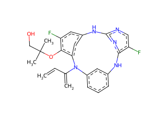 C=CC(=C)N1c2cccc(c2)Nc2nc(ncc2F)Nc2cc(F)c(OC(C)(C)CO)c1c2